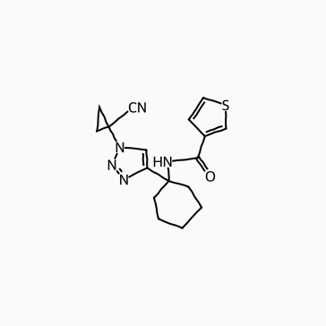 N#CC1(n2cc(C3(NC(=O)c4ccsc4)CCCCC3)nn2)CC1